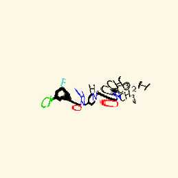 CN(C(=O)CN1CCC(CNC(=O)c2cc(F)cc(Cl)c2)CC1)C(C)(C)C(=O)O